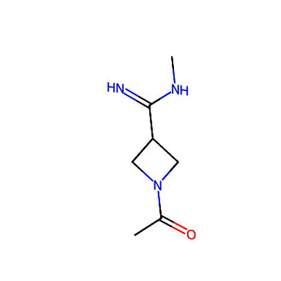 CNC(=N)C1CN(C(C)=O)C1